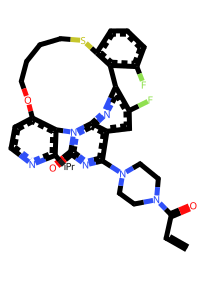 C=CC(=O)N1CCN(c2nc(=O)n3c4nc(c(F)cc24)-c2c(F)cccc2SCCCCOc2ccnc(C(C)C)c2-3)CC1